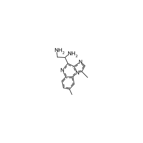 Cc1ccc2nc(C(N)CN)c3ncc(C)n3c2c1